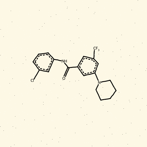 O=C(Nc1cccc(Cl)c1)c1cc(N2CCCCC2)cc(C(F)(F)F)c1